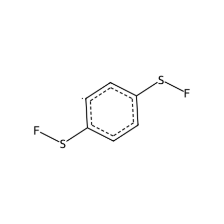 FSc1[c]cc(SF)cc1